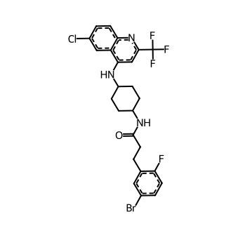 O=C(CCc1cc(Br)ccc1F)NC1CCC(Nc2cc(C(F)(F)F)nc3ccc(Cl)cc23)CC1